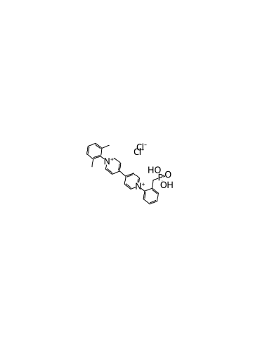 Cc1cccc(C)c1-[n+]1ccc(-c2cc[n+](-c3ccccc3CP(=O)(O)O)cc2)cc1.[Cl-].[Cl-]